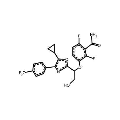 NC(=O)c1c(F)ccc(OC(CO)c2nc(-c3ccc(C(F)(F)F)cc3)c(C3CC3)o2)c1F